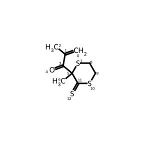 C=C(C)C(=O)C1(C)SCCSC1=S